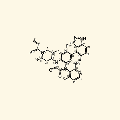 C=CC(=O)N1C[C@@H](C)C(n2c(=O)c(=O)n(-c3c(C)ccnc3C(C)C)c3nc(-c4c(C)ccc5[nH]ncc45)c(F)cc32)C[C@H]1C